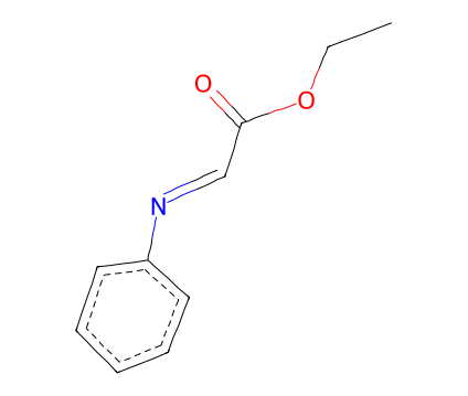 CCOC(=O)/C=N/c1ccccc1